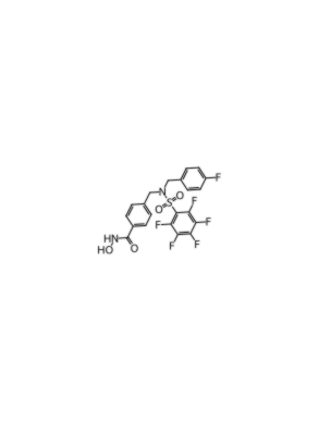 O=C(NO)c1ccc(CN(Cc2ccc(F)cc2)S(=O)(=O)c2c(F)c(F)c(F)c(F)c2F)cc1